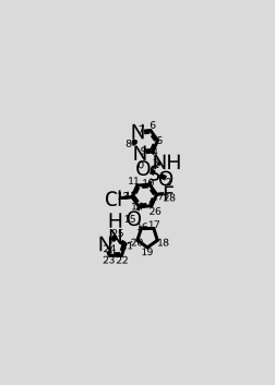 O=S(=O)(Nc1ccncn1)c1cc(Cl)c(O[C@H]2CCC[C@@H]2c2ccn[nH]2)cc1F